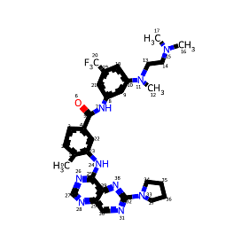 Cc1ccc(C(=O)Nc2cc(N(C)CCN(C)C)cc(C(F)(F)F)c2)cc1Nc1ncnc2cnc(N3CCCC3)nc12